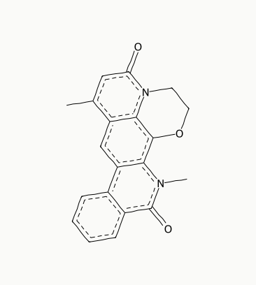 Cc1cc(=O)n2c3c(c4c(cc13)c1ccccc1c(=O)n4C)OCC2